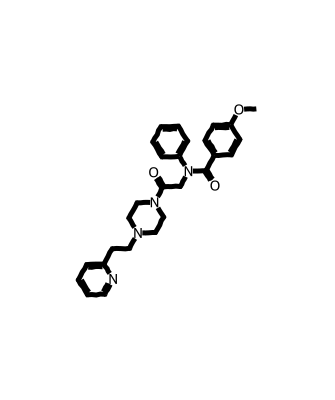 COc1ccc(C(=O)N(CC(=O)N2CCN(CCc3ccccn3)CC2)c2ccccc2)cc1